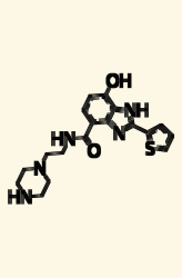 O=C(NCCN1CCNCC1)c1ccc(O)c2[nH]c(-c3cccs3)nc12